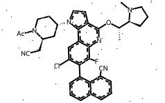 CC(=O)N1CC[C@H](n2ccc3c(O[C@@H](C)[C@@H]4CCCN4C)nc4c(F)c(-c5cccc6cccc(C#N)c56)c(Cl)cc4c32)C[C@H]1CC#N